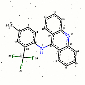 Cc1ccc(Nc2c3ccccc3nc3ccccc23)c(C(F)(F)F)c1